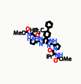 COC(=O)N[C@H](C(=O)N1CCC[C@H]1c1ncc(C2(c3cnc([C@@H]4CCCN4C(=O)[C@@H](NC(=O)OC)C(C)C)[nH]3)C=CC(c3ccccc3)C(C(=O)O)=C2)[nH]1)C(C)C